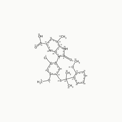 COc1cc(Cl)c(-n2c(=O)[nH]c3c(C)cc(C(=O)O)nc32)cc1SC(C)(C)c1ccccc1OC